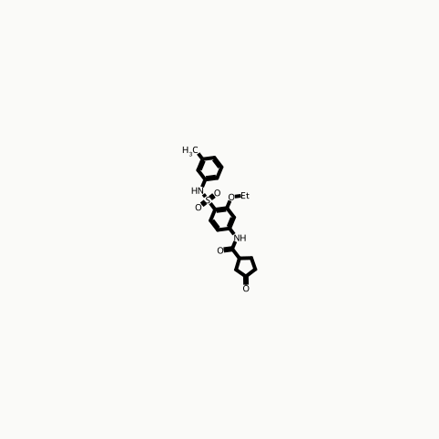 CCOc1cc(NC(=O)C2CCC(=O)C2)ccc1S(=O)(=O)Nc1cccc(C)c1